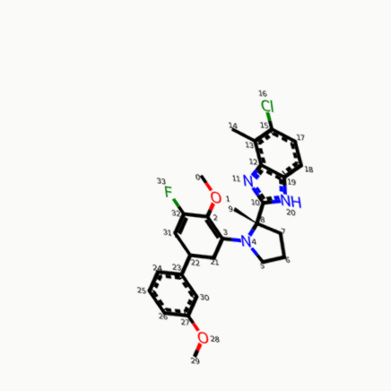 COC1=C(N2CCC[C@@]2(C)c2nc3c(C)c(Cl)ccc3[nH]2)CC(c2cccc(OC)c2)[C]=C1F